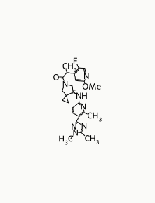 COc1cc(C(C)C(=O)N2C[C@@H](Nc3ccc(-c4nc(C)n(C)n4)c(C)n3)C3(CC3)C2)c(F)cn1